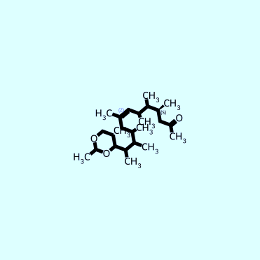 CC(=O)C[C@H](C)C(C)C(C)/C=C(/C)CC(C)C(C)C(C)C1OC(C)OCC1C